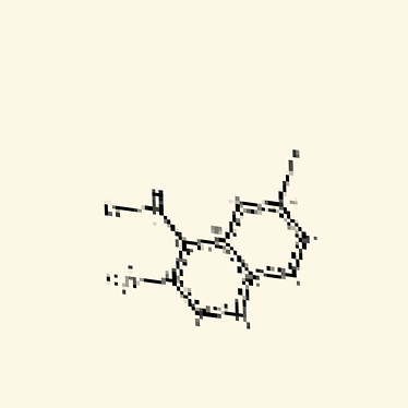 CCNc1c([N+](=O)[O-])cnc2ccc(I)cc12